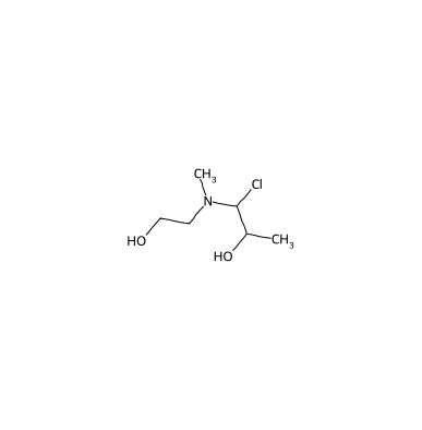 CC(O)C(Cl)N(C)CCO